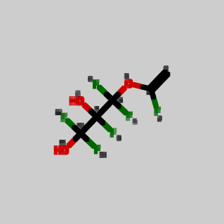 C=C(F)OC(F)(F)C(O)(F)C(O)(F)F